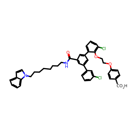 O=C(O)c1ccc(OCCOc2c(Cl)cccc2-c2cc(C(=O)NCCCCCCCCn3ccc4ccccc43)cc(-c3cccc(Cl)c3)c2)cc1